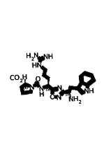 N=C(N)NCCC[C@H](NC(=O)N1CCC[C@@H]1C(=O)O)c1nc([C@@H](N)Cc2c[nH]c3ccccc23)no1